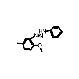 COc1ccc(C)cc1N=NNc1ccccc1